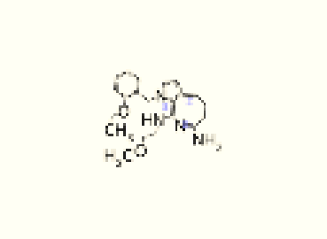 CCOc1ccccc1Cn1ccc2/c1=C(NCCOC)\N=C(\N)CC\C=2